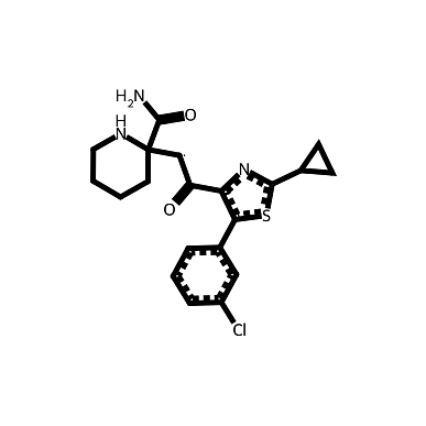 NC(=O)C1([CH]C(=O)c2nc(C3CC3)sc2-c2cccc(Cl)c2)CCCCN1